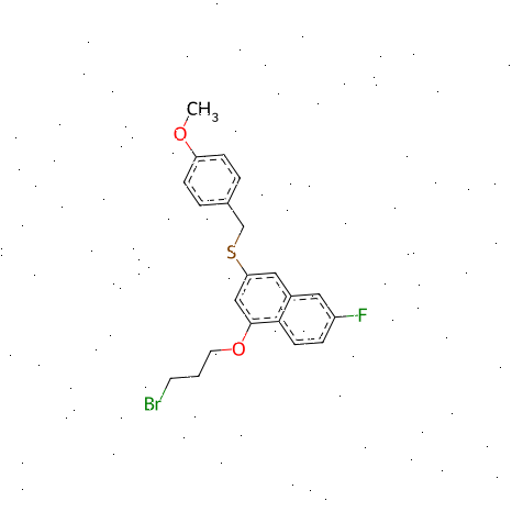 COc1ccc(CSc2cc(OCCCBr)c3ccc(F)cc3c2)cc1